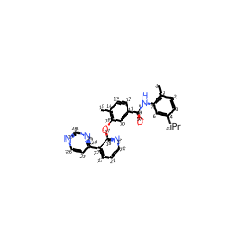 Cc1ccc(C(C)C)cc1NC(=O)c1ccc(C)c(Oc2ncccc2-c2ccncn2)c1